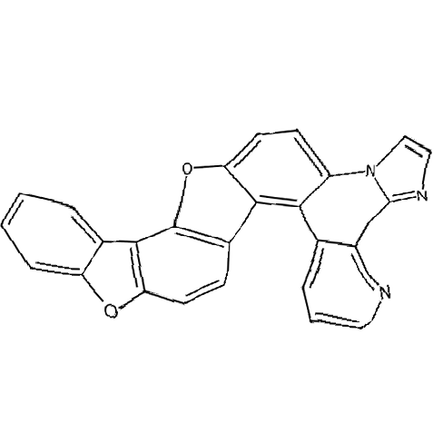 c1ccc2c(c1)oc1ccc3c(oc4ccc5c(c6cccnc6c6nccn56)c43)c12